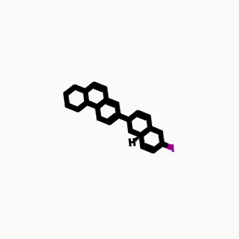 IC1C=C[C@H]2CC(C3=CCC4C(=C3)C=CC3CCCCC34)C=CC2C1